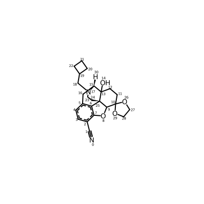 N#Cc1ccc2c3c1OC1C4(CCC5(O)[C@@H](C2)N(CC2CCC2)CC[C@]315)OCCO4